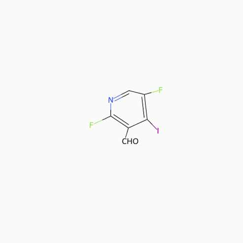 O=Cc1c(F)ncc(F)c1I